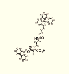 O=C(CCCCCSC(c1ccccc1)(c1ccccc1)c1ccccc1)NCCCC[C@H](NC(=O)OCC1c2ccccc2-c2ccccc21)C(=O)O